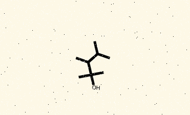 CC(C)C(C)C(C)(C)O